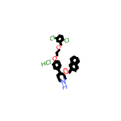 Cl.Clc1ccc(Cl)c(COCCCOc2ccc(C3CCNCC3OCc3ccc4ccccc4c3)cc2)c1